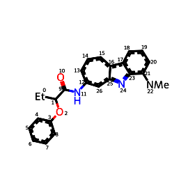 CCC(Oc1ccccc1)C(=O)Nc1cccc2c3cccc(NC)c3nc-2c1